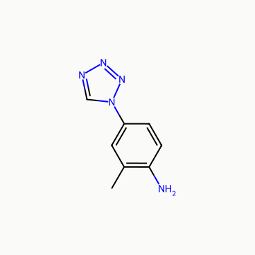 Cc1cc(-n2cnnn2)ccc1N